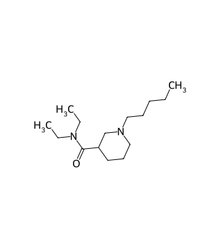 CCCCCN1CCCC(C(=O)N(CC)CC)C1